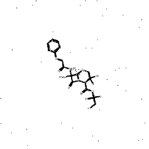 COC1(NC(=O)COc2ccccc2)C(=O)N2C(C(=O)OC(Cl)(Cl)CCl)C(C)(I)CS[C@@H]21